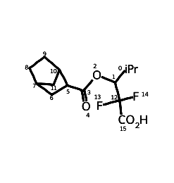 CC(C)C(OC(=O)C1CC2CCC1C2)C(F)(F)C(=O)O